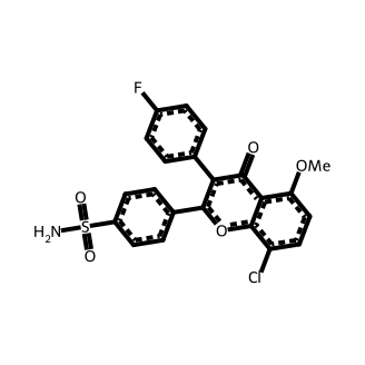 COc1ccc(Cl)c2oc(-c3ccc(S(N)(=O)=O)cc3)c(-c3ccc(F)cc3)c(=O)c12